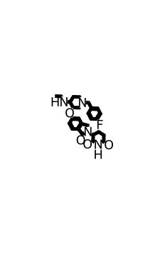 CCNC1CCN(Cc2ccc(F)cc2)CC1Oc1ccc2c(c1)CN(C1CCC(=O)NC1=O)C2=O